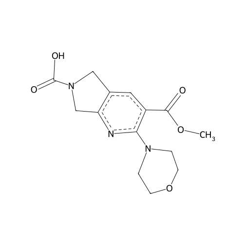 COC(=O)c1cc2c(nc1N1CCOCC1)CN(C(=O)O)C2